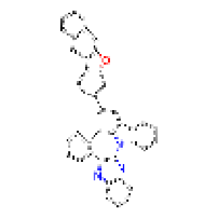 c1ccc2c(c1)-c1nc3ccccc3nc1-n1c3ccccc3c3cc(-c4ccc5c(c4)oc4cc6ccccc6cc45)cc-2c31